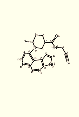 CC1CCC(C(=O)NCC#N)CN1c1cnnc2cnc3[nH]ccc3c12